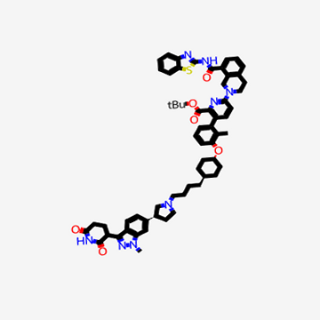 Cc1c(O[C@H]2CC[C@H](CCCCN3CC[C@H](c4ccc5c(C6CCC(=O)NC6=O)nn(C)c5c4)C3)CC2)cccc1-c1ccc(N2CCc3cccc(C(=O)Nc4nc5ccccc5s4)c3C2)nc1C(=O)OC(C)(C)C